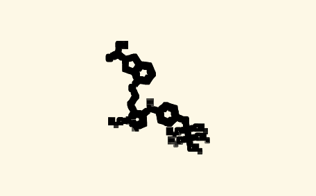 Cn1ncc(Nc2ccc(O[Si](C)(C)C(C)(C)C)cc2)c1CCOc1cccc2c1CN(C(=O)O)C2